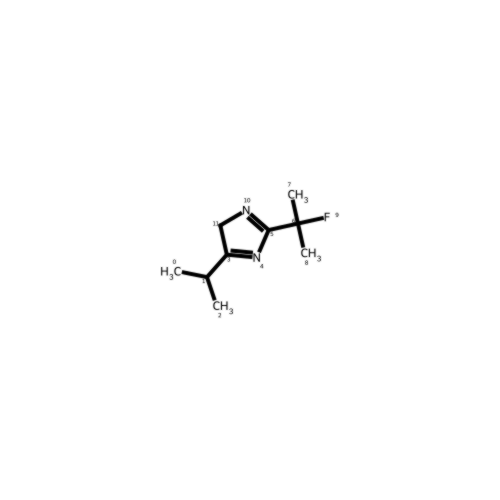 CC(C)C1=NC(C(C)(C)F)=NC1